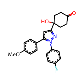 COc1ccc(-c2cc(C3(O)CCC(=O)CC3)nn2-c2ccc(F)cc2)cc1